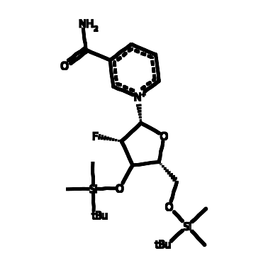 CC(C)(C)[Si](C)(C)OC[C@H]1O[C@@H]([n+]2cccc(C(N)=O)c2)[C@@H](F)C1O[Si](C)(C)C(C)(C)C